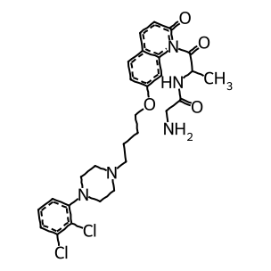 CC(NC(=O)CN)C(=O)n1c(=O)ccc2ccc(OCCCCN3CCN(c4cccc(Cl)c4Cl)CC3)cc21